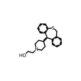 OCCN1CCC(=C2c3ccccc3CSc3ccccc32)CC1